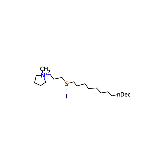 CCCCCCCCCCCCCCCCCCSCCC[N+]1(C)CCCC1.[I-]